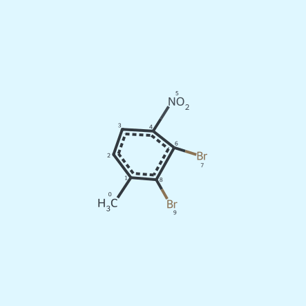 Cc1ccc([N+](=O)[O-])c(Br)c1Br